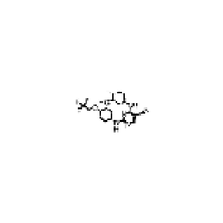 C[C@@H]1CC[C@@H](Nc2nc(N[C@H]3CC[C@H](OCC(F)(F)F)CC3)ncc2C#N)CC1O